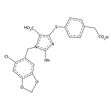 CCCc1nc(Sc2ccc(CC(=O)O)cc2)c(C(=O)O)n1Cc1cc2c(cc1Cl)OCO2